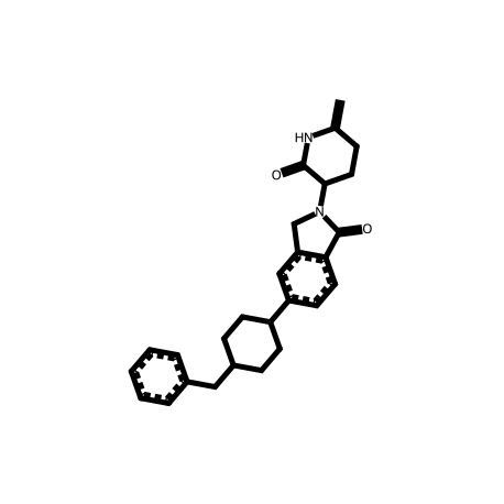 C=C1CCC(N2Cc3cc(C4CCC(Cc5ccccc5)CC4)ccc3C2=O)C(=O)N1